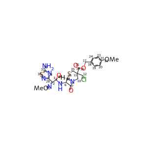 CON=C(C(=O)NC1C(=O)N2CC(CCl)(C(=O)OCc3ccc(OC)cc3)CS[C@H]12)c1nsc(N)n1